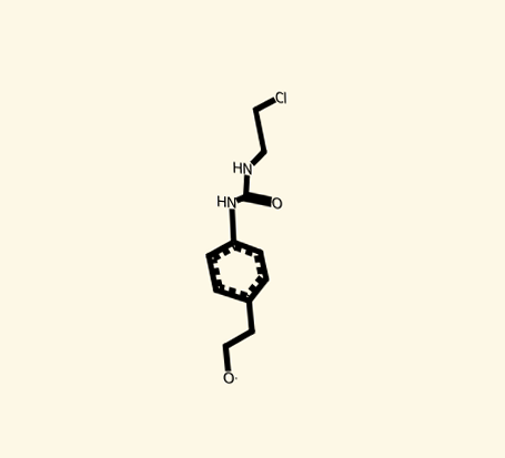 [O]CCc1ccc(NC(=O)NCCCl)cc1